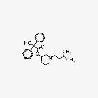 CC(C)CCN1CCCC(OC(=O)C(O)(c2ccccc2)c2ccccc2)C1